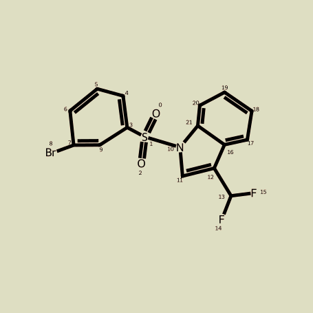 O=S(=O)(c1cccc(Br)c1)n1cc(C(F)F)c2ccccc21